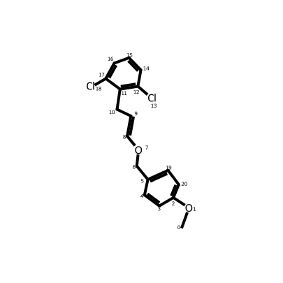 COc1ccc(COC=CCc2c(Cl)cccc2Cl)cc1